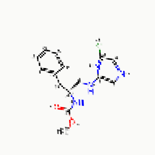 CC(C)(C)OC(=O)N[C@H](CNc1cncc(Cl)n1)Cc1ccccc1